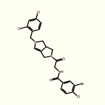 O=C(NCC(=O)N1CC2=CN(Cc3ccc(Cl)cc3Cl)CC2C1)c1ccc(Cl)c(Br)c1